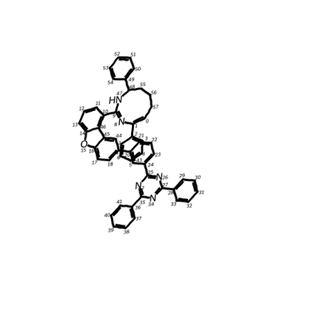 C1=C(c2ccccc2)\N=C(\c2cccc3oc4ccc(-c5cccc(-c6nc(-c7ccccc7)nc(-c7ccccc7)n6)c5)cc4c23)NC(c2ccccc2)CCC/1